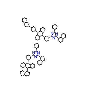 c1ccc(-c2nc(-c3cccc(-c4c5ccccc5c(-c5ccc(-c6ccc7ccccc7c6)cc5)c5ccc(-c6ccc(-c7nc(-c8cccc(-c9c%10ccccc%10c(-c%10cccc%11ccccc%10%11)c%10ccccc9%10)c8)nc(-c8cccc9ccccc89)n7)cc6)cc45)c3)nc(-c3cccc4ccccc34)n2)cc1